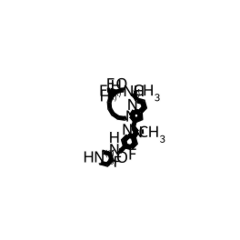 C[C@H]1NC(=O)[C@H]2[C@@H](CCCCCn3c(-c4nc5cc(C(=O)N[C@H]6CNCC[C@@H]6F)c(F)cc5n4C)cc4ccc1nc43)C2(F)F